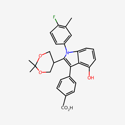 Cc1cc(-n2c(C3COC(C)(C)OC3)c(-c3ccc(C(=O)O)cc3)c3c(O)cccc32)ccc1F